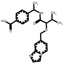 CC(NC(=O)C(OCc1ccn2ccnc2c1)C(C)C)c1ccc(C(=O)O)cc1